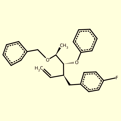 C=C[C@H](Cc1ccc(F)cc1)[C@@H](Oc1ccccc1)[C@H](C)OCc1ccccc1